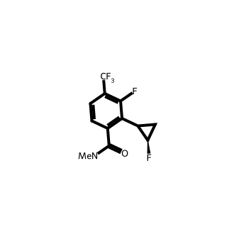 CNC(=O)c1ccc(C(F)(F)F)c(F)c1C1C[C@H]1F